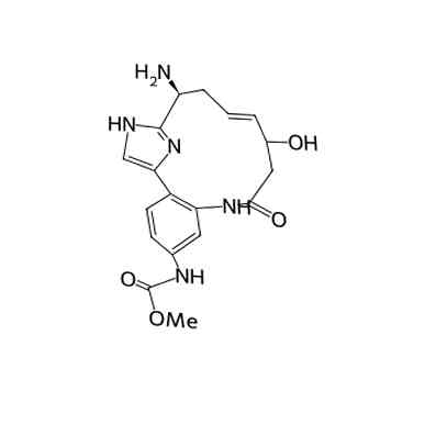 COC(=O)Nc1ccc2c(c1)NC(=O)CC(O)/C=C/C[C@H](N)c1nc-2c[nH]1